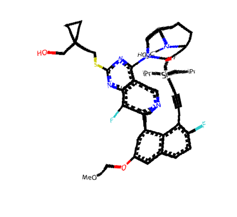 COCOc1cc(-c2ncc3c(N4CC5CCC(C4)N5C(=O)O)nc(SCC4(CO)CC4)nc3c2F)c2c(C#C[Si](C(C)C)(C(C)C)C(C)C)c(F)ccc2c1